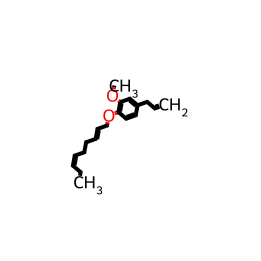 C=CCc1ccc(OC/C=C/CC/C=C\CC)c(OC)c1